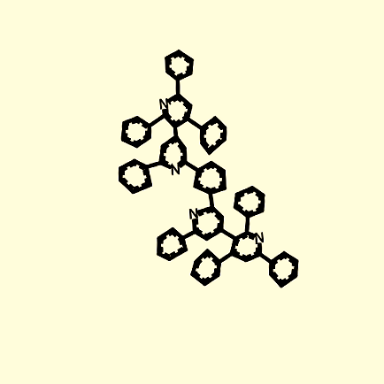 c1ccc(-c2cc(-c3c(-c4ccccc4)cc(-c4ccccc4)nc3-c3ccccc3)cc(-c3cccc(-c4cc(-c5c(-c6ccccc6)cc(-c6ccccc6)nc5-c5ccccc5)cc(-c5ccccc5)n4)c3)n2)cc1